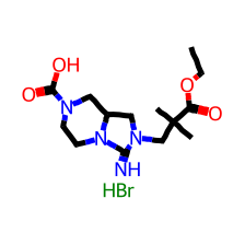 Br.CCOC(=O)C(C)(C)CN1CC2CN(C(=O)O)CCN2C1=N